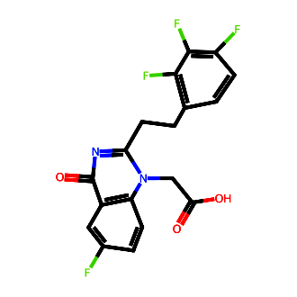 O=C(O)Cn1c(CCc2ccc(F)c(F)c2F)nc(=O)c2cc(F)ccc21